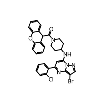 O=C(C1c2ccccc2Oc2ccccc21)N1CCC(Nc2cc(-c3ccccc3Cl)nc3c(Br)cnn23)CC1